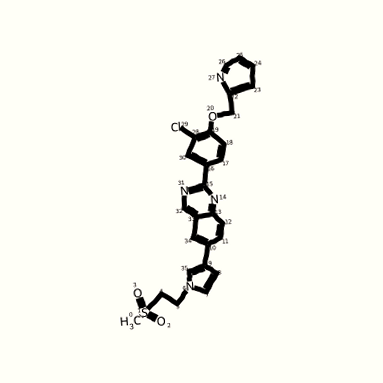 CS(=O)(=O)CCn1ccc(-c2ccc3nc(-c4ccc(OCc5ccccn5)c(Cl)c4)ncc3c2)c1